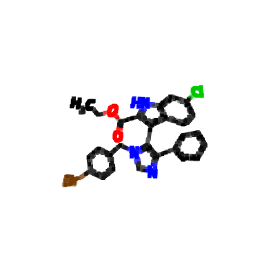 CCOC(=O)c1[nH]c2cc(Cl)ccc2c1-c1c(-c2ccccc2)ncn1Cc1ccc(Br)cc1